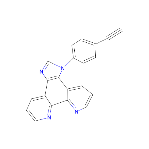 C#Cc1ccc(-n2cnc3c4cccnc4c4ncccc4c32)cc1